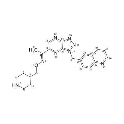 CC(=NOCC1CCNCC1)c1cnc2nnn(Cc3ccc4ncccc4c3)c2n1